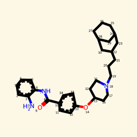 Nc1ccccc1NC(=O)c1ccc(OC2CCN(CCCC3CC4CCCC(C4)C3)CC2)cc1